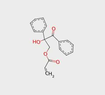 C=CC(=O)OCC(O)(C(=O)c1ccccc1)c1ccccc1